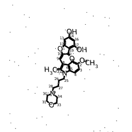 COc1ccc2c(c1)c(C=C1Oc3cc(O)cc(O)c3C1=O)c(C)n2CCCCN1CCOCC1